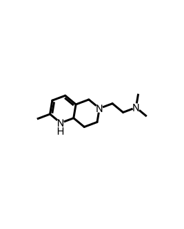 CC1=CC=C2CN(CCN(C)C)CCC2N1